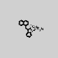 O=C(O)CN1c2ccccc2C(Cc2cccc3ccccc23)C1C(=O)O